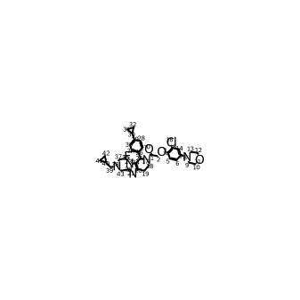 O=C(COc1ccc(N2CCOCC2)cc1Cl)N1CCc2nc3n(c2C1c1ccc(C2CC2)cc1F)CCN(CC1CC1)C3